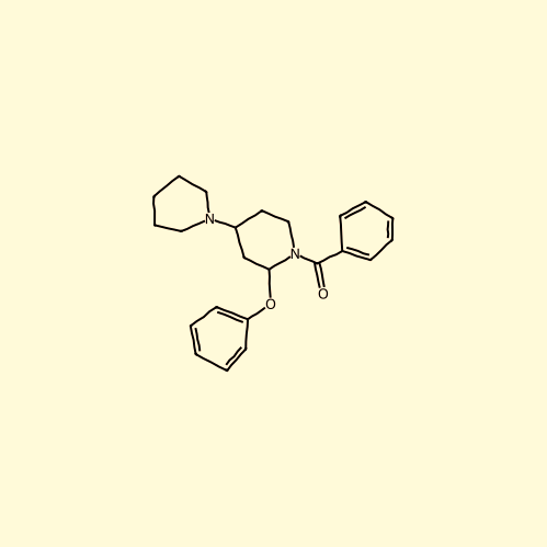 O=C(c1ccccc1)N1CCC(N2CCCCC2)CC1Oc1ccccc1